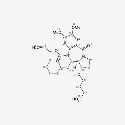 C=CCOC(=O)N1c2cc(OC)c(OC)cc2C(=O)N2CC[C@H](OCCCC(=O)O)[C@H]2C1OC1CCCCO1